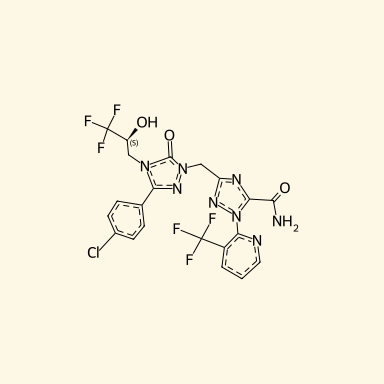 NC(=O)c1nc(Cn2nc(-c3ccc(Cl)cc3)n(C[C@H](O)C(F)(F)F)c2=O)nn1-c1ncccc1C(F)(F)F